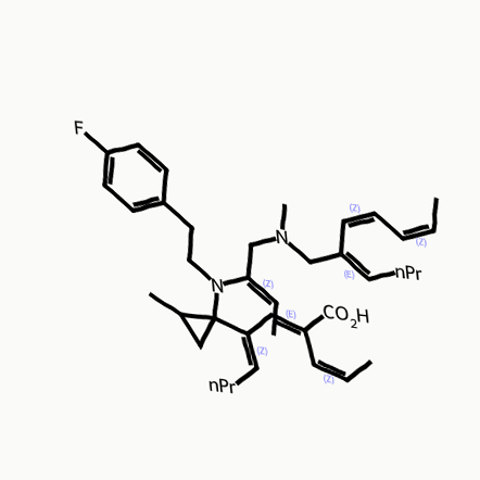 C\C=C/C=C\C(=C/CCC)CN(C)C/C(=C/C)N(CCc1ccc(F)cc1)C1(C(=C\CCC)/C=C(\C=C/C)C(=O)O)CC1C